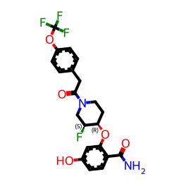 NC(=O)c1ccc(O)cc1O[C@@H]1CCN(C(=O)Cc2ccc(OC(F)(F)F)cc2)C[C@@H]1F